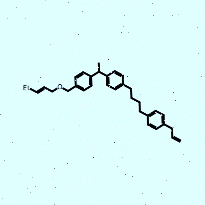 C=CCc1ccc(CCCCc2ccc(C(C)c3ccc(COC/C=C/CC)cc3)cc2)cc1